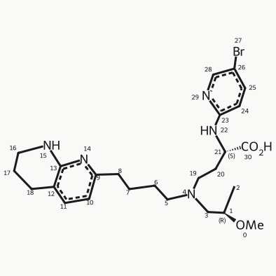 CO[C@H](C)CN(CCCCc1ccc2c(n1)NCCC2)CC[C@H](Nc1ccc(Br)cn1)C(=O)O